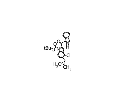 CN(C)Cc1ccc2c(cc(C(=O)C3NCc4ccccc43)n2C(=O)OC(C)(C)C)c1Cl